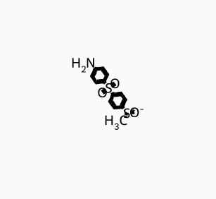 C[S+]([O-])c1ccc(S(=O)(=O)c2ccc(N)cc2)cc1